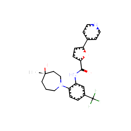 C[C@]1(O)CCCN(c2ccc(C(F)(F)F)cc2NC(=O)c2ccc(-c3ccncc3)o2)CC1